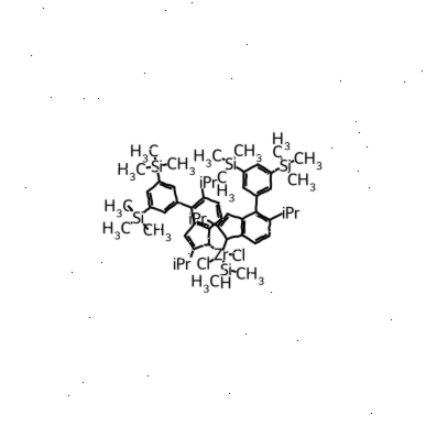 CC(C)C1=Cc2c(ccc(C(C)C)c2-c2cc([Si](C)(C)C)cc([Si](C)(C)C)c2)[CH]1[Zr]([Cl])([Cl])([CH]1C(C(C)C)=Cc2c1ccc(C(C)C)c2-c1cc([Si](C)(C)C)cc([Si](C)(C)C)c1)[SiH](C)C